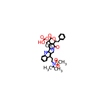 CCC1(OC(=O)O)C(=O)O[C@@H](Cc2ccccc2)c2c1cc1n(c2=O)Cc2c-1nc1ccccc1c2CCN(C(C)C)S(C)(=O)=O